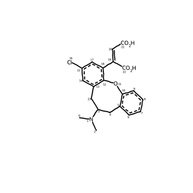 CN(C)C1Cc2ccccc2Oc2c(cc(Cl)cc2/C(=C/C(=O)O)C(=O)O)C1